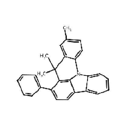 Cc1ccc2c(c1)C(C)(C)c1c(-c3ccccc3)ccc3c4ccccc4n-2c13